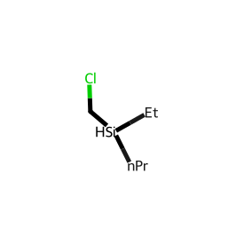 CCC[SiH](CC)CCl